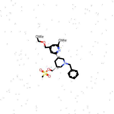 COCOCc1cc(OC)nc([C@H]2C[C@@H](COS(C)(=O)=O)CN(Cc3ccccc3)C2)c1